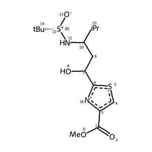 COC(=O)c1csc(C(O)CC(N[S@@+]([O-])C(C)(C)C)C(C)C)n1